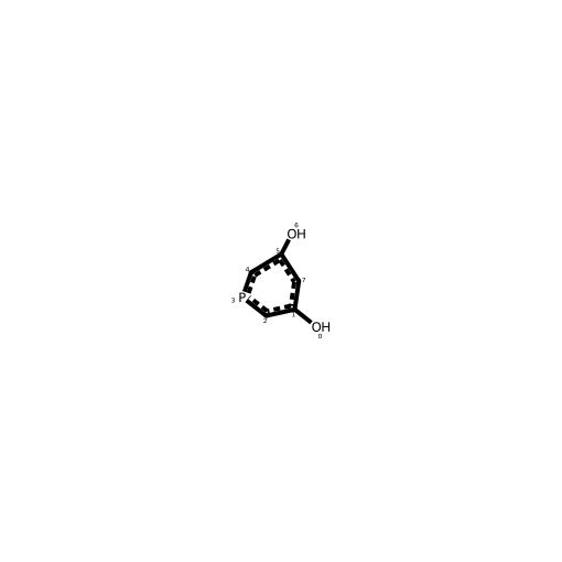 Oc1cpcc(O)c1